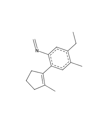 C=Nc1cc(CC)c(C)cc1C1=C(C)CCC1